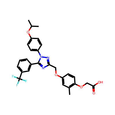 Cc1cc(OCc2nc(-c3cccc(C(F)(F)F)c3)n(-c3ccc(OC(C)C)cc3)n2)ccc1OCC(=O)O